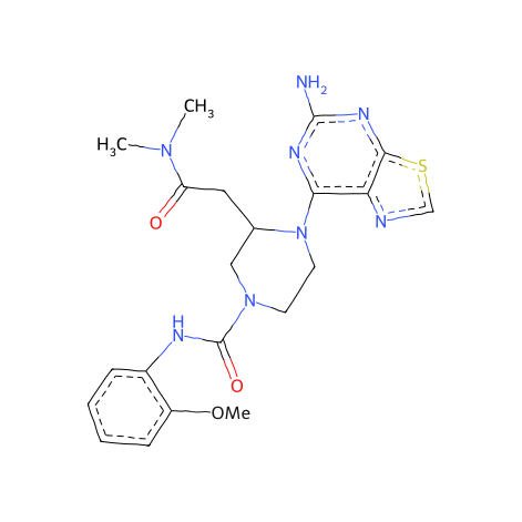 COc1ccccc1NC(=O)N1CCN(c2nc(N)nc3scnc23)C(CC(=O)N(C)C)C1